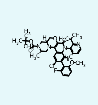 COc1cccc(F)c1-c1c(Cl)cc2c3c(c(=O)n(-c4c(C)ccnc4C(C)C)c2c1F)OC[C@H]1CN(C(=O)OC(C)(C)C)[C@H](C)CN31